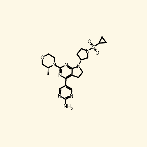 C[C@H]1COCCN1c1nc(-c2cnc(N)nc2)c2c(n1)N([C@H]1CCN(S(=O)(=O)C3CC3)C1)CC2